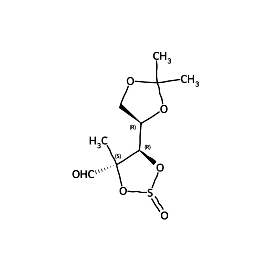 CC1(C)OC[C@H]([C@H]2OS(=O)O[C@]2(C)C=O)O1